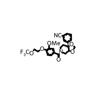 COc1cc(C(=O)N2CC[C@]3(c4cccc(C#N)c4)OCOC3C2)ccc1OCCOC(F)(F)F